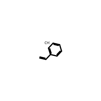 C=Cc1ccccc1.[CH]